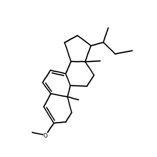 CCC(C)C1CCC2C3=CC=C4C=C(OC)CCC4(C)C3CCC21C